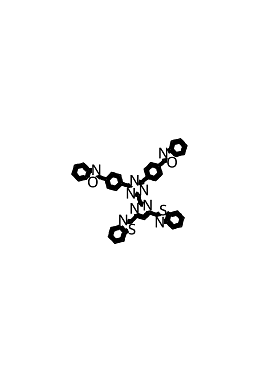 c1ccc2oc(-c3ccc(-c4nc(-c5ccc(-c6nc7ccccc7o6)cc5)nc(-c5nc(-c6nc7ccccc7s6)cc(-c6nc7ccccc7s6)n5)n4)cc3)nc2c1